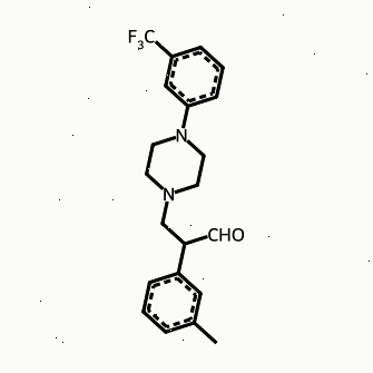 Cc1cccc(C(C=O)CN2CCN(c3cccc(C(F)(F)F)c3)CC2)c1